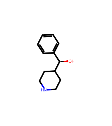 O[C@H](c1ccccc1)C1CCNCC1